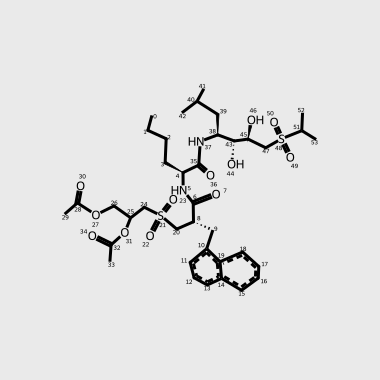 CCCC[C@H](NC(=O)[C@H](Cc1cccc2ccccc12)CS(=O)(=O)CC(COC(C)=O)OC(C)=O)C(=O)N[C@@H](CC(C)C)[C@@H](O)[C@@H](O)CS(=O)(=O)C(C)C